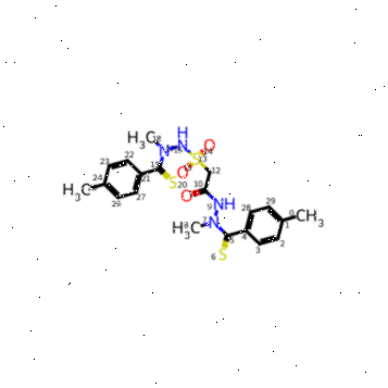 Cc1ccc(C(=S)N(C)NC(=O)CS(=O)(=O)NN(C)C(=S)c2ccc(C)cc2)cc1